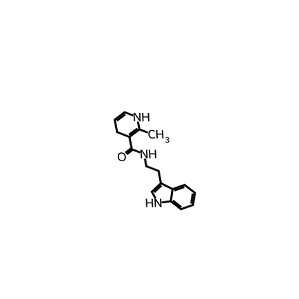 CC1=C(C(=O)NCCc2c[nH]c3ccccc23)CC=CN1